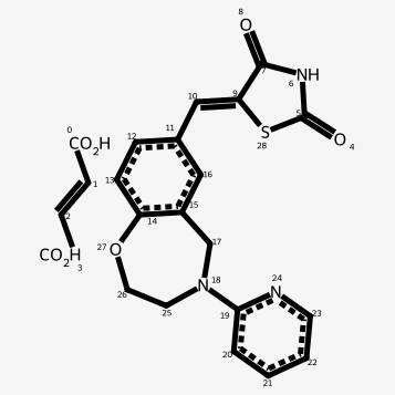 O=C(O)C=CC(=O)O.O=C1NC(=O)C(=Cc2ccc3c(c2)CN(c2ccccn2)CCO3)S1